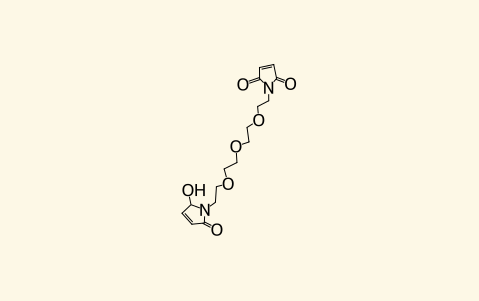 O=C1C=CC(=O)N1CCOCCOCCOCCN1C(=O)C=CC1O